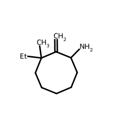 C=C1C(N)CCCCCC1(C)CC